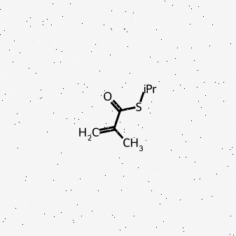 C=C(C)C(=O)SC(C)C